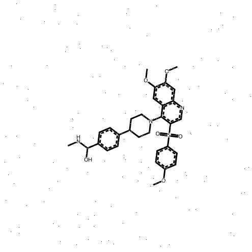 CNC(O)c1ccc(C2CCN(c3c(S(=O)(=O)c4ccc(OC)cc4)cnc4cc(OC)c(OC)cc34)CC2)cc1